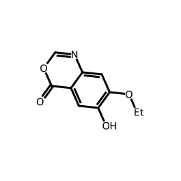 CCOc1cc2ncoc(=O)c2cc1O